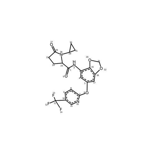 O=C(Nc1cc(Oc2ccc(C(F)(F)F)cn2)cc2c1OCO2)C1CCC(=O)N1C1CC1